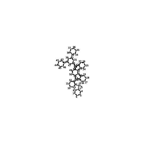 CC1(C)c2ccccc2-c2cccc(-n3c4ccccc4c4c5c6ccccc6n(-c6cc(-c7ccccc7)cc(-c7ccccc7)c6)c5ccc43)c21